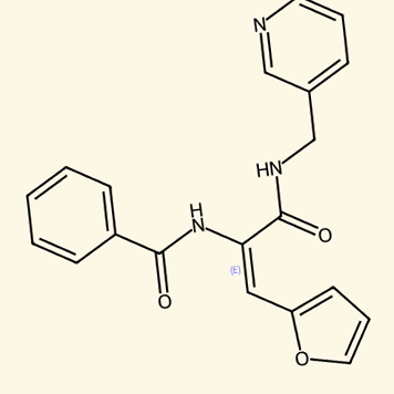 O=C(NCc1cccnc1)/C(=C\c1ccco1)NC(=O)c1ccccc1